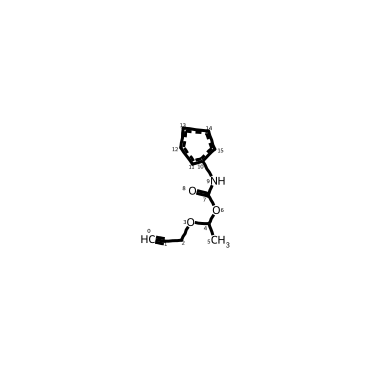 C#CCOC(C)OC(=O)Nc1ccccc1